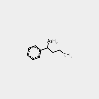 CCCC([AsH2])c1ccccc1